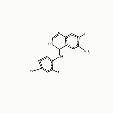 O=[N+]([O-])c1cc2c(cc1F)N=CNC2Nc1ccc(Br)cc1F